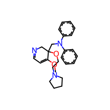 COC1=CC=NCC1(CN(c1ccccc1)c1ccccc1)OCCN1CCCC1